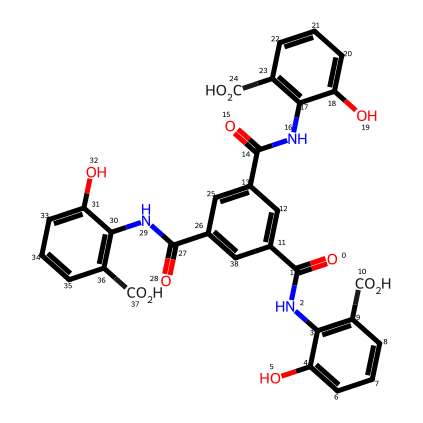 O=C(Nc1c(O)cccc1C(=O)O)c1cc(C(=O)Nc2c(O)cccc2C(=O)O)cc(C(=O)Nc2c(O)cccc2C(=O)O)c1